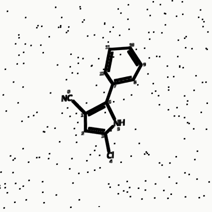 N#Cc1cc(Cl)[nH]c1-c1ccccc1